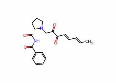 C/C=C/C=C/C(=O)C(=O)CN1CCC[C@H]1C(=O)NC(=O)c1ccccc1